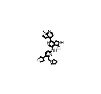 Cn1ccc2c(-c3ncc(Nc4ccc(C5CCOC5)c(CN5CCCC5)n4)c4c3CNC4=O)ccnc21